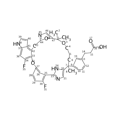 CC1(C)OCCCC(C)(c2cccc(CCC(=O)O)c2)c2cnc([nH]2)-c2cc(ccc2F)Oc2c(F)cc3[nH]ccc3c2Cc2ncc1o2